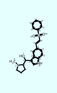 CN1CCCC1C(O)c1c[nH]c2ccc(/C=C/S(=O)(=O)c3ccccc3)cc12